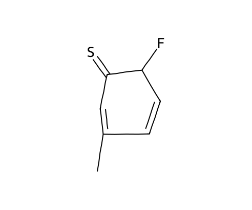 CC1=CC(=S)C(F)C=C1